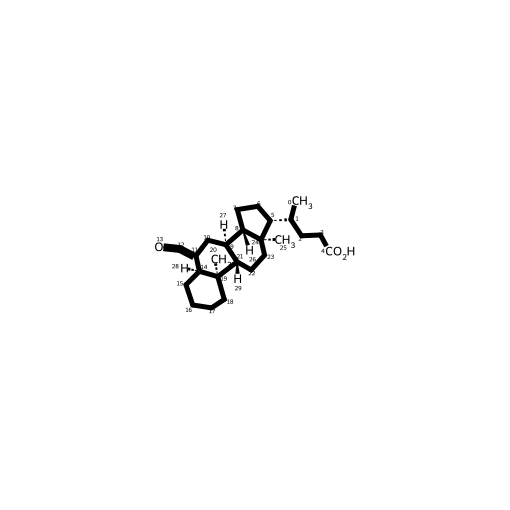 CC(CCC(=O)O)[C@H]1CC[C@H]2[C@@H]3CC(=C=O)[C@@H]4CCCC[C@]4(C)[C@H]3CC[C@]12C